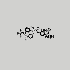 CCN(C(=O)Cc1ccc2c(c1)NC(=O)CS2(O)O)[C@H](CN1CCC(O)C1)c1cccc(OC(F)C(F)F)c1